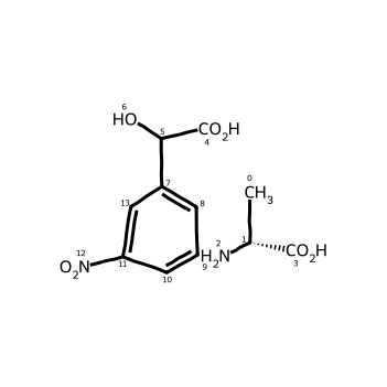 C[C@@H](N)C(=O)O.O=C(O)C(O)c1cccc([N+](=O)[O-])c1